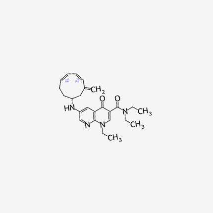 C=C1/C=C\C=C/CCC(Nc2cnc3c(c2)c(=O)c(C(=O)N(CC)CC)cn3CC)C1